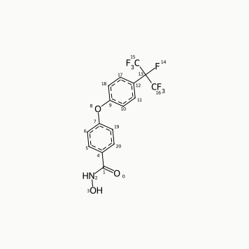 O=C(NO)c1ccc(Oc2ccc(C(F)(C(F)(F)F)C(F)(F)F)cc2)cc1